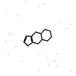 [CH]1C=CC2=C1CC1CCCCC1C2